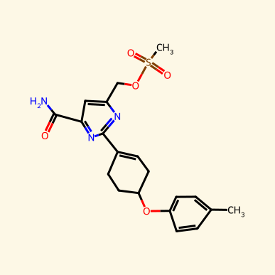 Cc1ccc(OC2CC=C(c3nc(COS(C)(=O)=O)cc(C(N)=O)n3)CC2)cc1